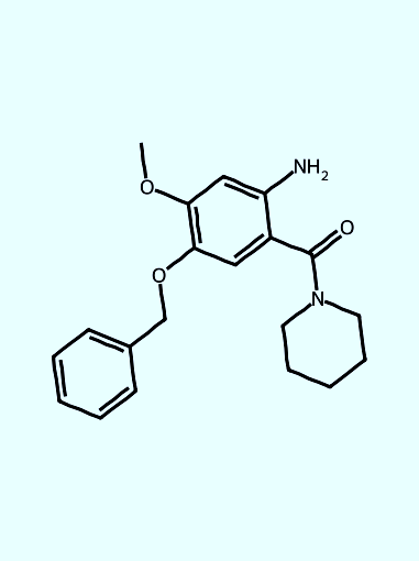 COc1cc(N)c(C(=O)N2CCCCC2)cc1OCc1ccccc1